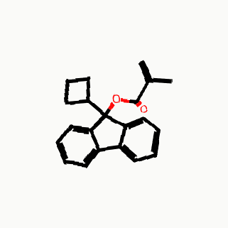 C=C(C)C(=O)OC1(C2CCC2)c2ccccc2-c2ccccc21